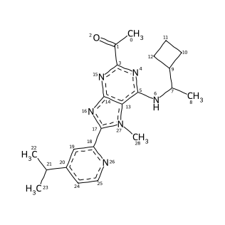 CC(=O)c1nc(NC(C)C2CCC2)c2c(n1)nc(-c1cc(C(C)C)ccn1)n2C